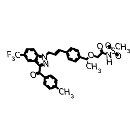 Cc1ccc(C(=O)c2nn(C/C=C/c3ccc([C@@H](C)OCC(=O)NS(C)(=O)=O)cc3)c3ccc(C(F)(F)F)cc23)cc1